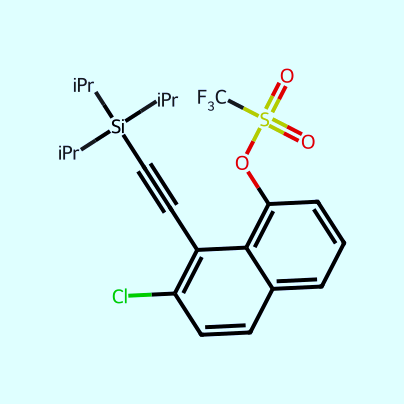 CC(C)[Si](C#Cc1c(Cl)ccc2cccc(OS(=O)(=O)C(F)(F)F)c12)(C(C)C)C(C)C